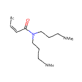 CNCCCN(CCCNC)C(=O)/C=C\C(C)=O